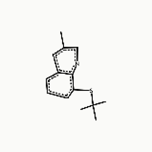 Cc1cnc2c(SC(C)(C)C)cccc2c1